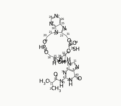 CC(C)C(=O)Nc1nc2c(ncn2[C@@H]2O[C@@H]3COPOCCn4c(nc5cncnc54)COP(=O)(S)O[C@@H]2[C@@H]3F)c(=O)[nH]1